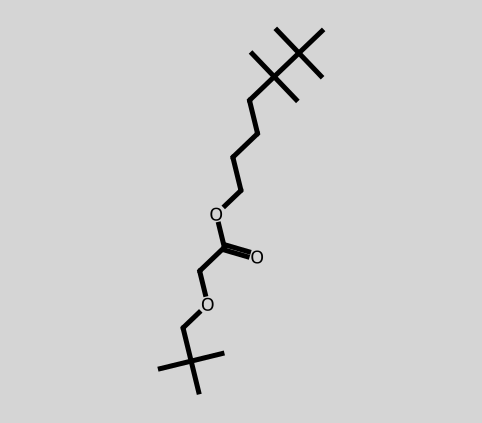 CC(C)(C)COCC(=O)OCCCCC(C)(C)C(C)(C)C